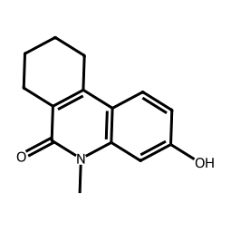 Cn1c(=O)c2c(c3ccc(O)cc31)CCCC2